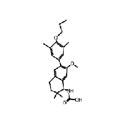 CCCOc1c(C)cc(-c2cc3c(cc2OC)[C@@H](NC(=O)O)C(C)(C)CC3)cc1C